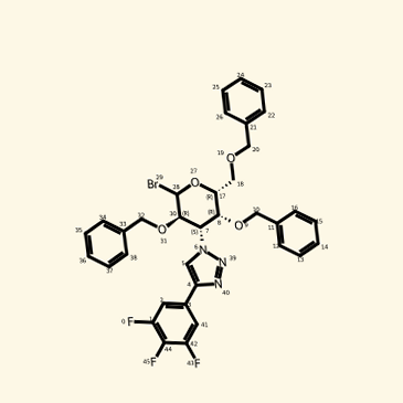 Fc1cc(-c2cn([C@H]3[C@@H](OCc4ccccc4)[C@@H](COCc4ccccc4)OC(Br)[C@@H]3OCc3ccccc3)nn2)cc(F)c1F